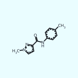 Cc1ccc(NC(=O)c2ccn(C)n2)cc1